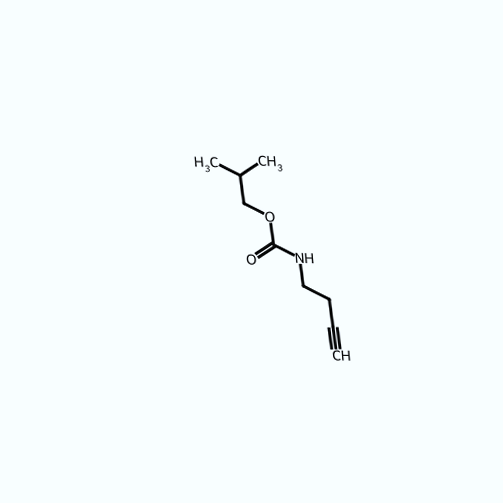 C#CCCNC(=O)OCC(C)C